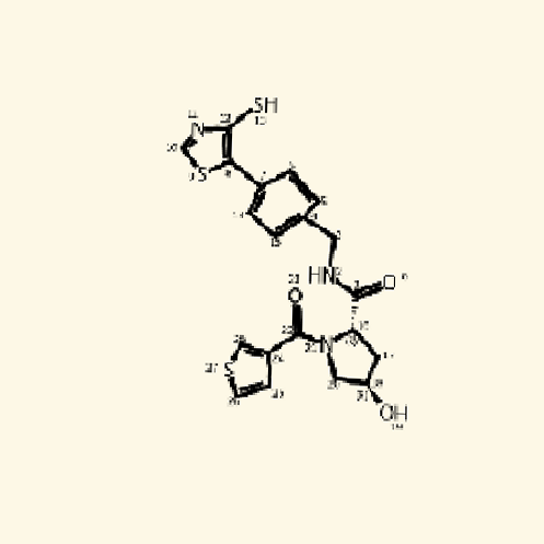 O=C(NCc1ccc(-c2scnc2S)cc1)[C@@H]1C[C@@H](O)CN1C(=O)c1ccsc1